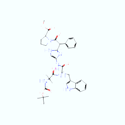 COC(=O)C1CCCN1C(=O)C(c1ccccc1)c1nc(NC(=O)[C@@H](Cc2c[nH]c3ccccc23)NC(=O)C(C)(C)NC(=O)OC(C)(C)C)c[nH]1